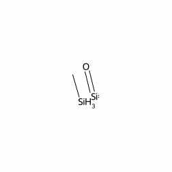 C[SiH3].O=[Si]